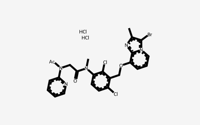 CC(=O)N(CC(=O)N(C)c1ccc(Cl)c(COc2cccn3c(Br)c(C)nc23)c1Cl)c1ccccn1.Cl.Cl